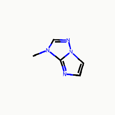 Cn1cnn2ccnc12